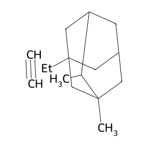 C#C.CCC12CC3CC(C1)C(C)C(C)(C3)C2